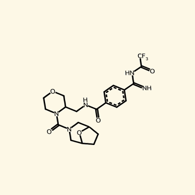 N=C(NC(=O)C(F)(F)F)c1ccc(C(=O)NCC2COCCN2C(=O)N2CC3CCC(C2)O3)cc1